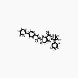 O=C(Cc1ccc(-c2ccccn2)cc1)N1CCc2nc(C3(c4ccccc4)CC3)[nH]c(=O)c2C1